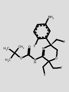 CC(C)(C)OC(=O)NC1=N[C@](CF)(c2cc(N)ccc2F)COC1(CF)CF